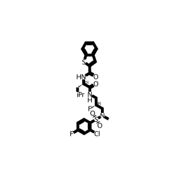 CC(C)C[C@H](NC(=O)c1cc2ccccc2s1)C(=O)NC[C@@H](F)CN(C)S(=O)(=O)c1ccc(F)cc1Cl